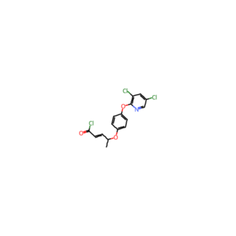 CC(/C=C/C(=O)Cl)Oc1ccc(Oc2ncc(Cl)cc2Cl)cc1